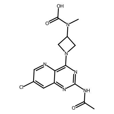 CC(=O)Nc1nc(N2CC(N(C)C(=O)O)C2)c2ncc(Cl)cc2n1